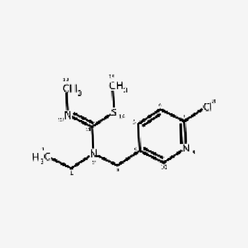 CCN(Cc1ccc(Cl)nc1)C(=NC)SC